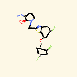 Nc1cccn(Cc2nc3cc(F)cc(OCc4ccc(F)cc4F)c3s2)c1=O